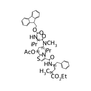 CCOC(=O)[C@H](C)C[C@H](Cc1ccccc1)NC(=O)c1csc([C@@H](C[C@@H](C(C)C)N(C)C(=O)[C@@H](NC(=O)OCC2c3ccccc3-c3ccccc32)C(C)C)OC(C)=O)n1